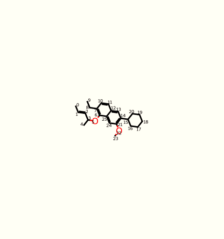 CC=CC(C)Oc1c(CC)ccc2cc(C3CCCCC3)c(OC)cc12